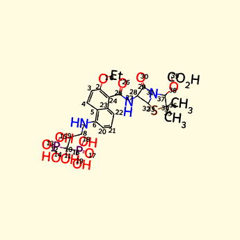 CCOc1ccc2c(NCCC(O)(P(=O)(O)O)P(=O)(O)O)cccc2c1C(=O)NC1C(=O)N2C1SC(C)(C)C2OC(=O)O